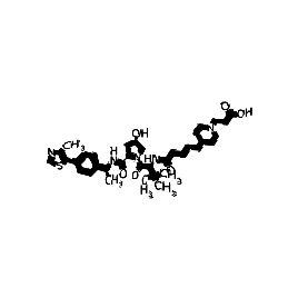 Cc1ncsc1-c1ccc([C@H](C)NC(=O)[C@@H]2C[C@@H](O)CN2C(=O)[C@@H](NC(=O)CCCCC2CCN(CCC(=O)O)CC2)C(C)(C)C)cc1